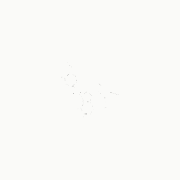 C=C1SC(=O)N(c2cn(Cc3ccc(C#N)cc3)c3ccccc23)C1=O